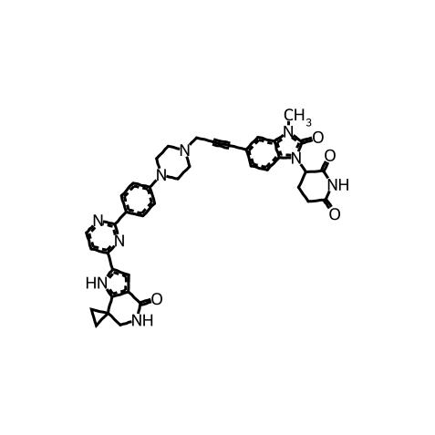 Cn1c(=O)n(C2CCC(=O)NC2=O)c2ccc(C#CCN3CCN(c4ccc(-c5nccc(-c6cc7c([nH]6)C6(CC6)CNC7=O)n5)cc4)CC3)cc21